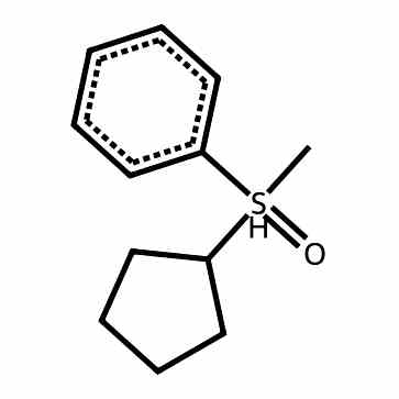 C[SH](=O)(c1ccccc1)C1CCCC1